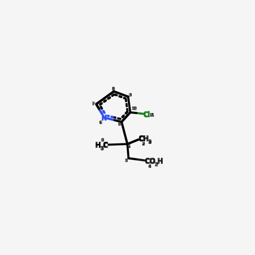 CC(C)(CC(=O)O)c1ncccc1Cl